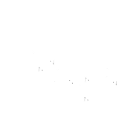 C\C=C/C=C(\C=C/C)Cn1cc2c(n1)CN(c1cncc(C(=O)N(C)C)n1)C2